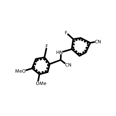 COc1cc(F)c(C(C#N)Nc2ccc(C#N)cc2F)cc1OC